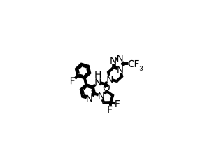 O=C(Nc1c(-c2ccccc2F)ccnc1N1CCC(F)(F)C1)N1CCn2c(nnc2C(F)(F)F)C1